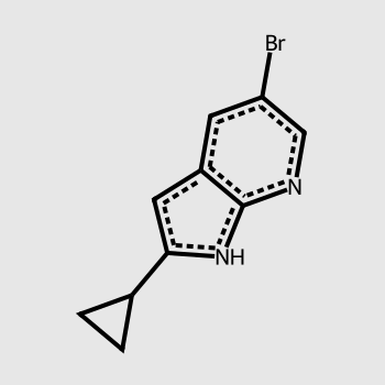 Brc1cnc2[nH]c(C3CC3)cc2c1